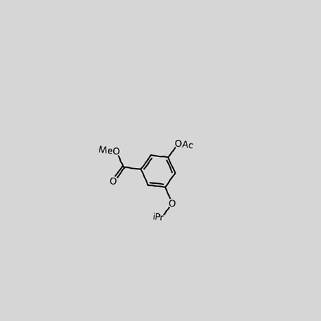 COC(=O)c1cc(OC(C)=O)cc(OC(C)C)c1